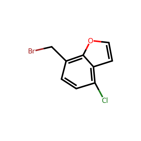 Clc1ccc(CBr)c2occc12